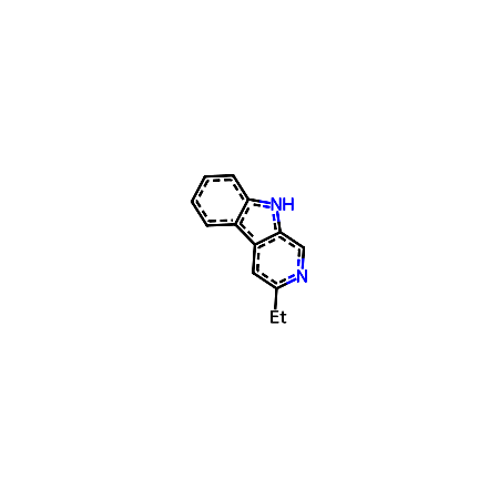 [CH2]Cc1cc2c(cn1)[nH]c1ccccc12